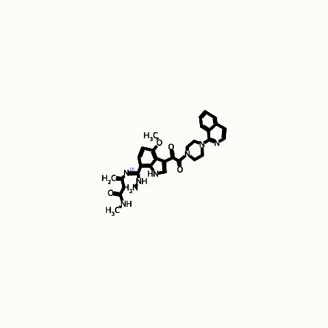 C=C(CC(=O)NC)/N=C(\NN)c1ccc(OC)c2c(C(=O)C(=O)N3CCN(c4nccc5ccccc45)CC3)c[nH]c12